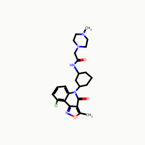 Cc1onc2c1c(=O)n(C1CCCC(NC(=O)CN3CCN(C)CC3)C1)c1cccc(Cl)c21